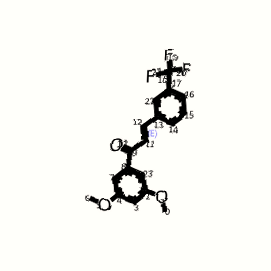 COc1cc(OC)cc(C(=O)/C=C/c2cccc(C(F)(F)F)c2)c1